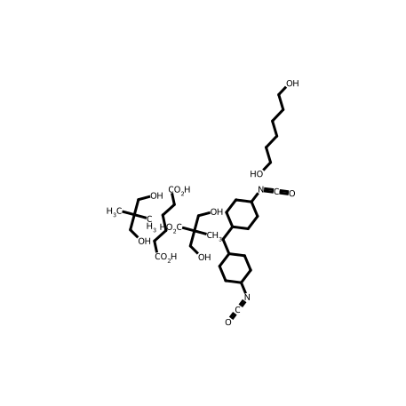 CC(C)(CO)CO.CC(CO)(CO)C(=O)O.O=C(O)CCCCC(=O)O.O=C=NC1CCC(CC2CCC(N=C=O)CC2)CC1.OCCCCCCO